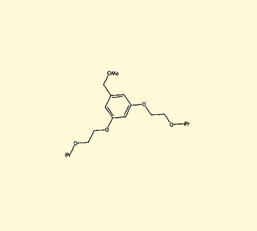 COCc1cc(OCCOC(C)C)cc(OCCOC(C)C)c1